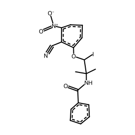 CC(C)(NC(=O)c1ccccc1)C(I)Oc1cccc([N+](=O)[O-])c1C#N